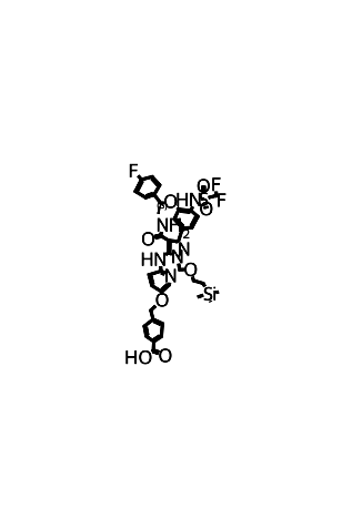 C[C@H](Oc1cc(-c2nn(COCC[Si](C)(C)C)c(Nc3ccc(OCc4ccc(C(=O)O)cc4)cn3)c2C(N)=O)ccc1NS(=O)(=O)C(F)F)c1ccc(F)cc1